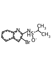 CC(C)[S+]([O-])Nc1nc2ccccc2cc1Br